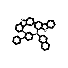 c1ccc(-c2ccc(N(c3ccc4ccccc4c3)c3cccc4c3oc3ccccc34)cc2-c2cccc3sc4ccccc4c23)cc1